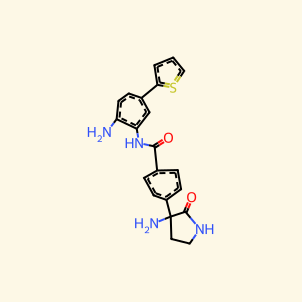 Nc1ccc(-c2cccs2)cc1NC(=O)c1ccc(C2(N)CCNC2=O)cc1